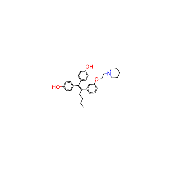 CCCCC(=C(c1ccc(O)cc1)c1ccc(O)cc1)c1cccc(OCCN2CCCCC2)c1